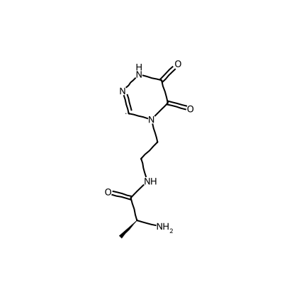 C[C@H](N)C(=O)NCCn1[c]n[nH]c(=O)c1=O